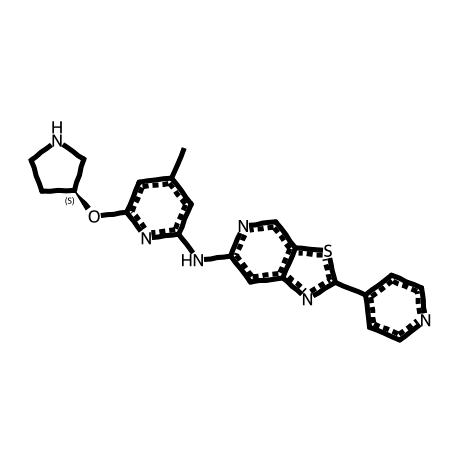 Cc1cc(Nc2cc3nc(-c4ccncc4)sc3cn2)nc(O[C@H]2CCNC2)c1